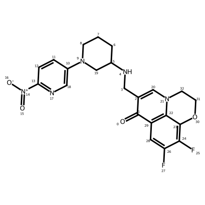 O=c1c(CNC2CCCN(c3ccc([N+](=O)[O-])nc3)C2)cn2c3c(c(F)c(F)cc13)OCC2